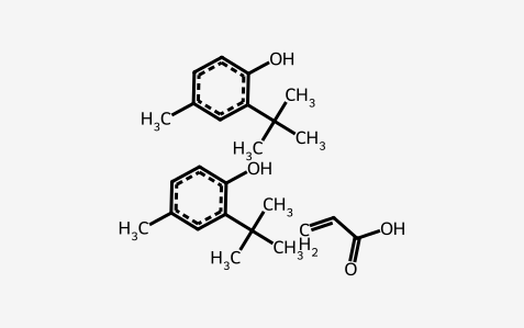 C=CC(=O)O.Cc1ccc(O)c(C(C)(C)C)c1.Cc1ccc(O)c(C(C)(C)C)c1